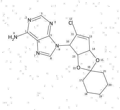 Nc1ncnc2c1ncn2C1C(Cl)=CC2OC3(CCCCC3)OC21